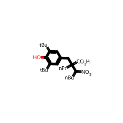 CCCCC([N+](=O)[O-])C(CCC)(Cc1cc(C(C)(C)C)c(O)c(C(C)(C)C)c1)C(=O)O